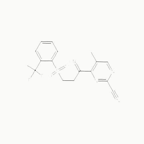 Cc1cnc(C#N)nc1C(=N)C[C@H](C)S(=O)(=O)c1ccccc1C(F)(F)F